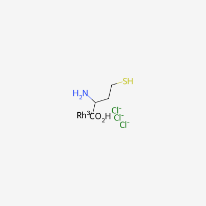 NC(CCS)C(=O)O.[Cl-].[Cl-].[Cl-].[Rh+3]